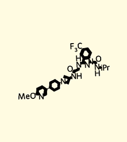 COc1ccc([C@H]2CC[C@@H](N3CC(NC(=O)CNc4nn(C(=O)NC(C)C)c5ccc(C(F)(F)F)cc45)C3)CC2)cn1